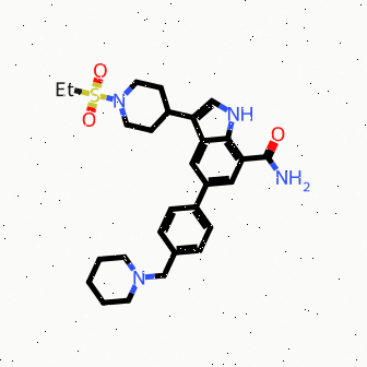 CCS(=O)(=O)N1CCC(c2c[nH]c3c(C(N)=O)cc(-c4ccc(CN5CCCCC5)cc4)cc23)CC1